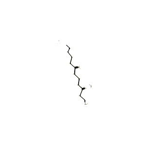 CC(=O)CCCCC(=O)CCCC(=O)CCC(C)=O